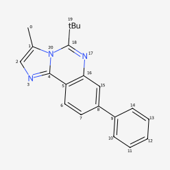 Cc1cnc2c3ccc(-c4ccccc4)cc3nc(C(C)(C)C)n12